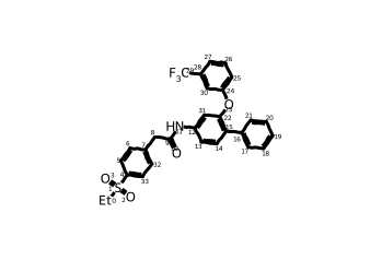 CCS(=O)(=O)c1ccc(CC(=O)Nc2ccc(-c3ccccc3)c(Oc3cccc(C(F)(F)F)c3)c2)cc1